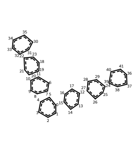 c1ccccc1.c1ccccc1.c1ccccc1.c1ccccc1.c1ccccc1.c1ccccc1.c1ccccc1